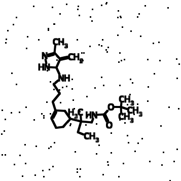 C=C1C(C)=NNC1NCCCC1=CCCC(C(C)(CC)CNC(=O)OC(C)(C)C)C1